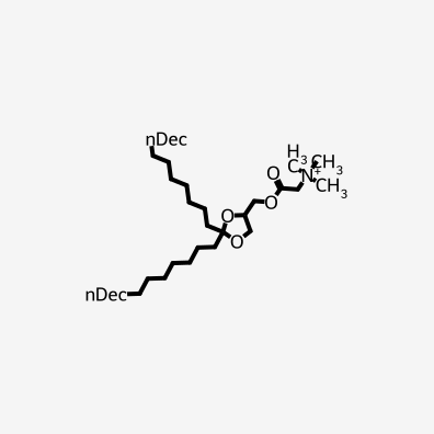 CCCCCCCCCCCCCCCCCC1(CCCCCCCCCCCCCCCCC)OCC(COC(=O)C[N+](C)(C)C)O1